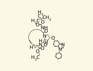 CCOC(=O)[C@@]12C[C@H]1/C=C\CCCCC[C@H](NC(=O)OC(C)(C)C)C(=O)N1C[C@H](Oc3ccc4c(c3)ncn4-c3ccccc3)C[C@H]1C(=O)N2